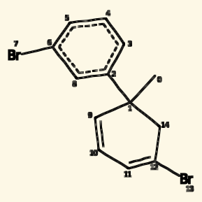 CC1(c2cccc(Br)c2)C=CC=C(Br)C1